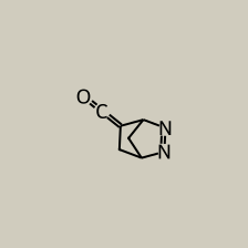 O=C=C1CC2CC1N=N2